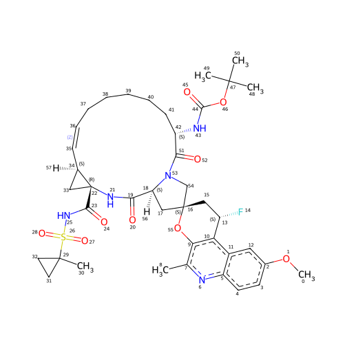 COc1ccc2nc(C)c3c(c2c1)[C@@H](F)C[C@]1(C[C@H]2C(=O)N[C@]4(C(=O)NS(=O)(=O)C5(C)CC5)C[C@H]4/C=C\CCCCC[C@H](NC(=O)OC(C)(C)C)C(=O)N2C1)O3